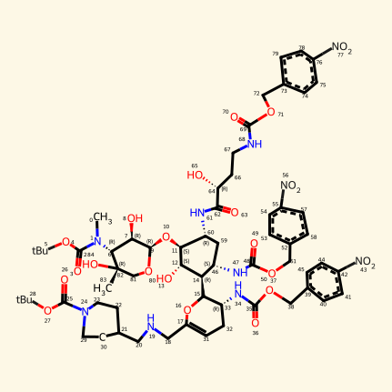 CN(C(=O)OC(C)(C)C)[C@@H]1[C@@H](O)[C@@H](O[C@@H]2[C@@H](O)[C@H](C3OC(CNCC4CCN(C(=O)OC(C)(C)C)CC4)=CC[C@H]3NC(=O)OCc3ccc([N+](=O)[O-])cc3)[C@@H](NC(=O)OCc3ccc([N+](=O)[O-])cc3)C[C@H]2NC(=O)[C@H](O)CCNC(=O)OCc2ccc([N+](=O)[O-])cc2)OC[C@]1(C)O